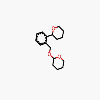 c1ccc(C2CCCCO2)c(COC2CCCCO2)c1